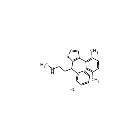 CNCCC(c1ccccc1)c1sccc1-c1cc(C)ccc1C.Cl